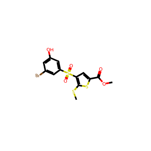 COC(=O)c1cc(S(=O)(=O)c2cc(O)cc(Br)c2)c(SC)s1